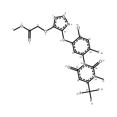 COC(=O)COc1nsnc1Oc1cc(-n2c(=O)cc(C(F)(F)F)n(C)c2=O)c(F)cc1Cl